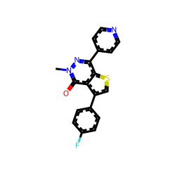 Cn1nc(-c2ccncc2)c2scc(-c3ccc(F)cc3)c2c1=O